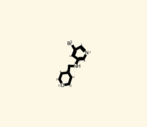 Brc1cncc(NCC2CCOCC2)c1